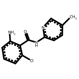 Cc1ccc(NC(=O)c2c(N)cccc2Cl)nc1